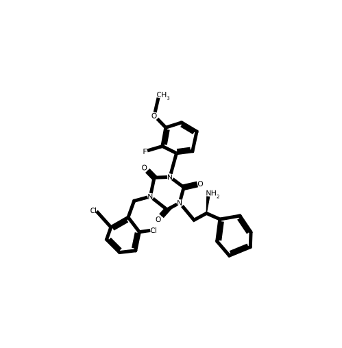 COc1cccc(-n2c(=O)n(Cc3c(Cl)cccc3Cl)c(=O)n(C[C@@H](N)c3ccccc3)c2=O)c1F